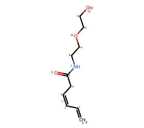 C=C/C=C\CC(=O)NCCOCCO